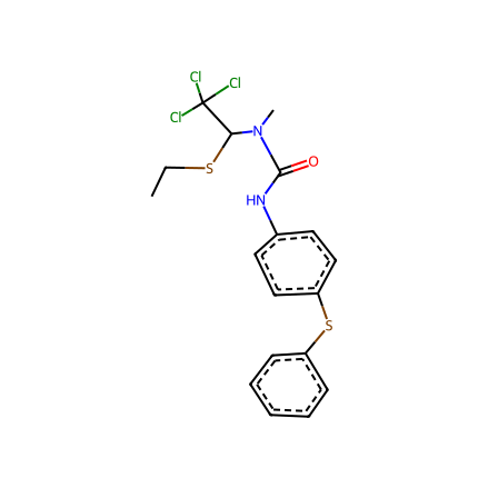 CCSC(N(C)C(=O)Nc1ccc(Sc2ccccc2)cc1)C(Cl)(Cl)Cl